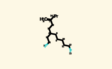 C=C(CCC(CCF)CCCCCF)C(C)C